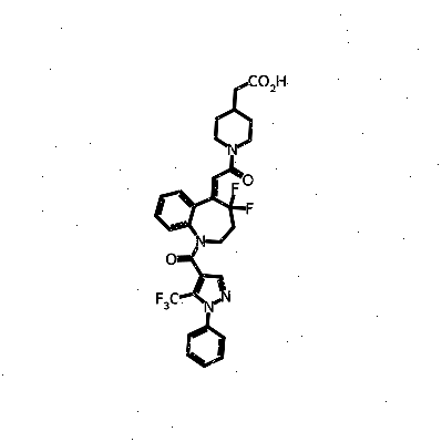 O=C(O)CC1CCN(C(=O)C=C2c3ccccc3N(C(=O)c3cnn(-c4ccccc4)c3C(F)(F)F)CCC2(F)F)CC1